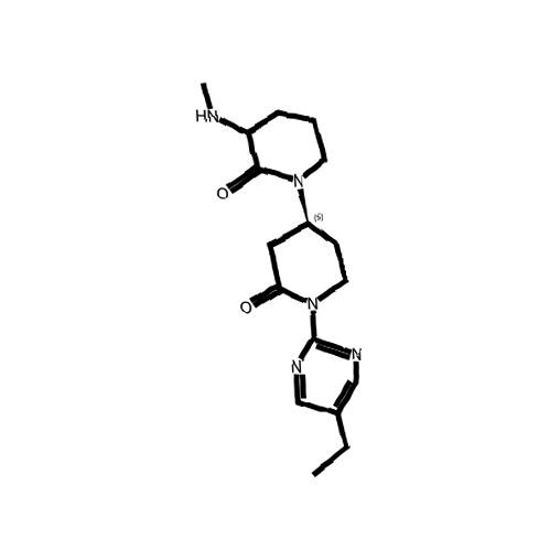 CCc1cnc(N2CC[C@H](N3CCCC(NC)C3=O)CC2=O)nc1